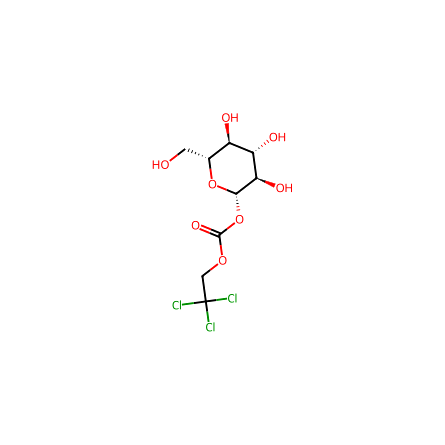 O=C(OCC(Cl)(Cl)Cl)O[C@@H]1O[C@H](CO)[C@@H](O)[C@H](O)[C@H]1O